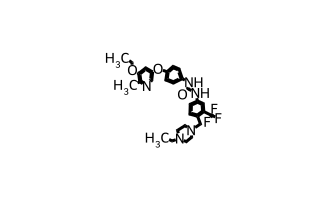 CCOc1cc(Oc2ccc(NC(=O)Nc3ccc(CN4CCN(CC)CC4)c(C(F)(F)F)c3)cc2)cnc1C